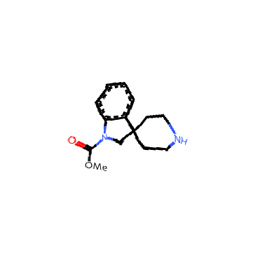 COC(=O)N1CC2(CCNCC2)c2ccccc21